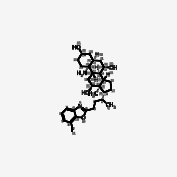 CC(CCc1nc2cccc(F)c2o1)[C@H]1CC[C@H]2[C@@H]3[C@H](O)C[C@@H]4C[C@H](O)CC[C@]4(N)[C@H]3C[C@H](O)[C@]12C